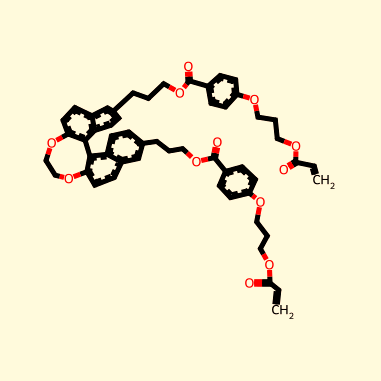 C=CC(=O)OCCCOc1ccc(C(=O)OCCCc2ccc3c4c(ccc3c2)OCCOc2ccc3cc(CCCOC(=O)c5ccc(OCCCOC(=O)C=C)cc5)ccc3c2-4)cc1